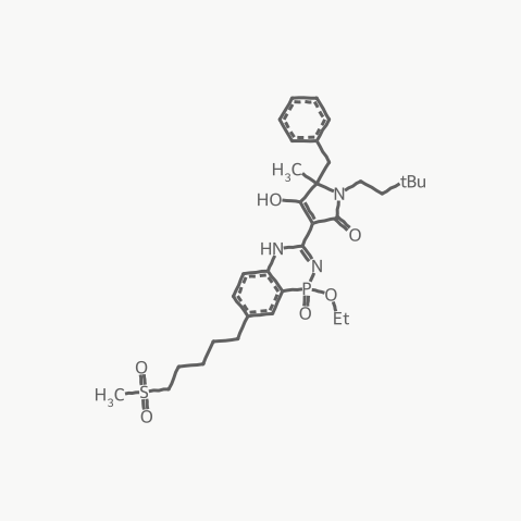 CCOP1(=O)N=C(C2=C(O)C(C)(Cc3ccccc3)N(CCC(C)(C)C)C2=O)Nc2ccc(CCCCCS(C)(=O)=O)cc21